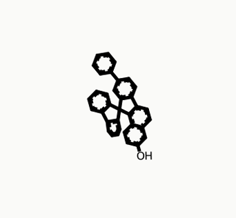 Oc1ccc2c3c(ccc2c1)-c1ccc(-c2ccccc2)cc1C31c2ccccc2-c2ccccc21